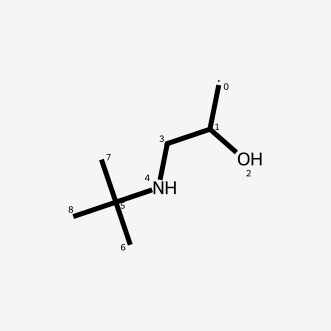 [CH2]C(O)CNC(C)(C)C